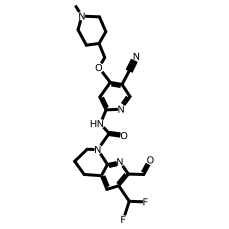 CN1CCC(COc2cc(NC(=O)N3CCCc4cc(C(F)F)c(C=O)nc43)ncc2C#N)CC1